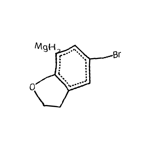 Brc1ccc2c(c1)CCO2.[MgH2]